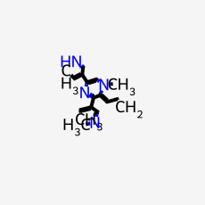 C=C/C=C1/C(C(/C=N\C)=C/C)=NC(/C(C=N)=C/C)=CN1C